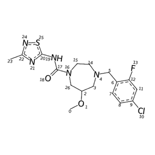 COC1CN(Cc2ccc(Cl)cc2F)CCN(C(=O)Nc2nc(C)ns2)C1